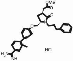 COC(=O)C[C@@H]1C[C@@H](COc2ccc(-c3ccc(C(=N)N)cc3C)cc2)N(CCCc2ccccc2)C1=O.Cl